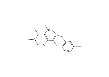 CCN(C)/C=N\c1cc(C)cc(Cc2cccc(C)c2)c1C